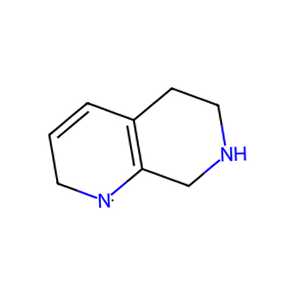 C1=CC2=C(CNCC2)[N]C1